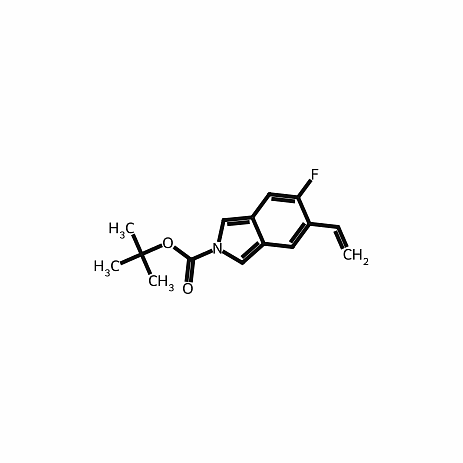 C=Cc1cc2cn(C(=O)OC(C)(C)C)cc2cc1F